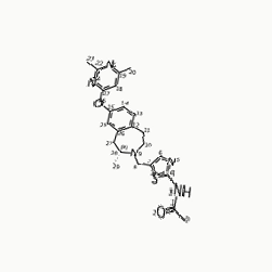 CC(=O)Nc1ncc(CN2CCc3ccc(Oc4cc(C)nc(C)n4)cc3C[C@H]2C)s1